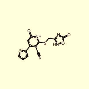 N#Cc1c(-c2cccs2)cc(=O)[nH]c1SCc1nc(=O)o[nH]1